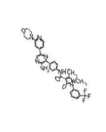 Cc1c(C(=O)Nc2ccc(-c3nc(-c4ccnc(N5CCOCC5)c4)cnc3N)cc2)c(=O)n(-c2cccc(C(F)(F)F)c2)n1C